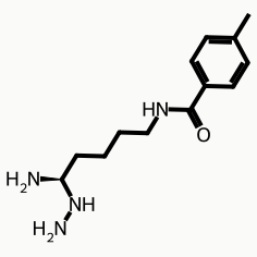 Cc1ccc(C(=O)NCCCC[C@H](N)NN)cc1